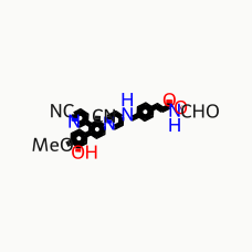 COc1ccc(-c2ccc(N3CCC(NCc4ccc(/C=C/C(=O)NOC=O)cc4)CC3)c(C#N)c2-c2ccc(C#N)nc2)cc1O